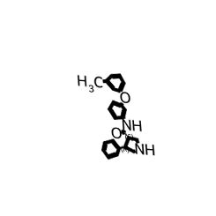 Cc1cccc(Oc2cccc(NC(=O)[C@@H]3CNC[C@H]3c3ccccc3)c2)c1